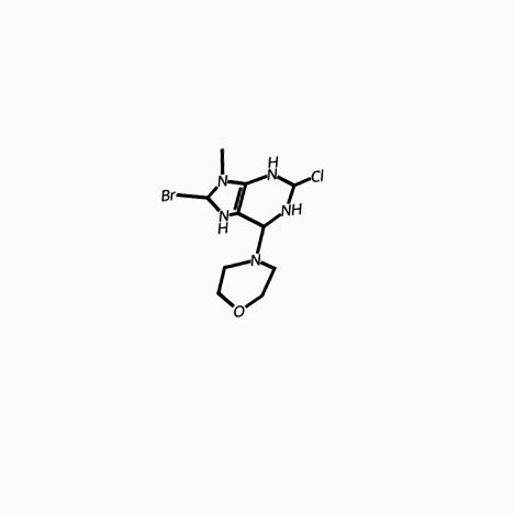 CN1C2=C(NC1Br)C(N1CCOCC1)NC(Cl)N2